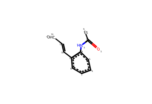 CCC(=O)Nc1ccccc1/C=C/[C]=O